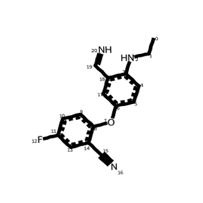 CCNc1ccc(Oc2ccc(F)cc2C#N)cc1C=N